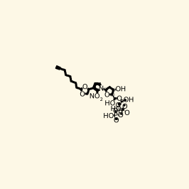 C#CCCCCCCC1OCC(c2ccn([C@H]3C[C@H](O)[C@@H](C(O)OP(=O)(O)OP(=O)(O)OP(=O)(O)O)O3)c2[N+](=O)[O-])O1